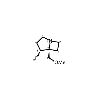 COC[C@]12CCN1CC[C@@H]2F